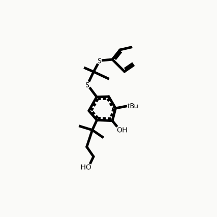 C=C/C(=C\C)SC(C)(C)Sc1cc(C(C)(C)C)c(O)c(C(C)(C)CCO)c1